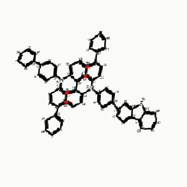 c1ccc(-c2ccc(N(c3ccc(-c4ccccc4)cc3)c3ccccc3-c3ccccc3N(c3ccc(-c4ccccc4)cc3)c3ccc(-c4ccc5c(c4)sc4ccccc45)cc3)cc2)cc1